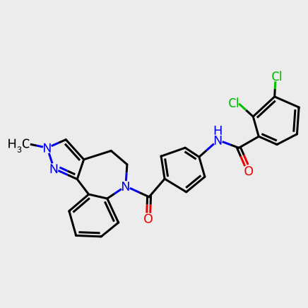 Cn1cc2c(n1)-c1ccccc1N(C(=O)c1ccc(NC(=O)c3cccc(Cl)c3Cl)cc1)CC2